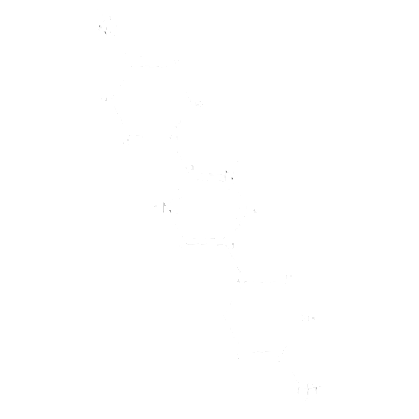 CCCC1CCC(c2cnc(C3CCC(C#N)CC3)nc2)CC1